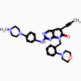 CC#Cc1cc2cnc(Nc3ccc(N4CCN(C)CC4)cc3)nc2n(Cc2ccccc2N2CCOCC2)c1=O